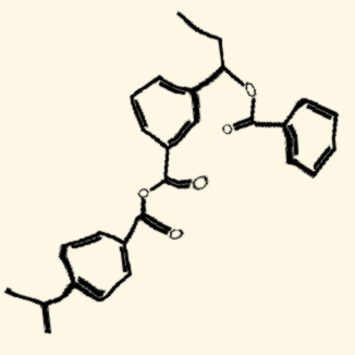 CCC(OC(=O)c1ccccc1)c1cccc(C(=O)OC(=O)c2ccc(C(C)C)cc2)c1